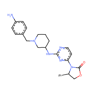 CC(C)C1COC(=O)N1c1ccnc(NC2CCCN(Cc3ccc(N)cc3)C2)n1